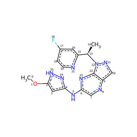 COc1cc(Nc2cnc3cnn([C@H](C)c4cc(F)ccn4)c3n2)n[nH]1